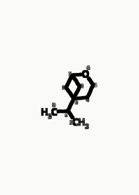 CC(C)C12CCOC(C1)C2